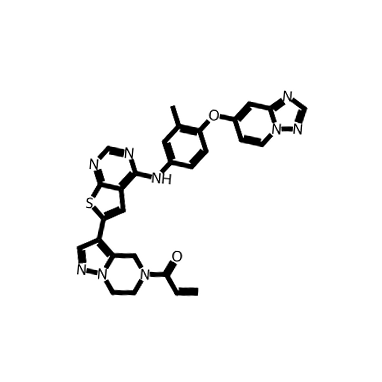 C=CC(=O)N1CCn2ncc(-c3cc4c(Nc5ccc(Oc6ccn7ncnc7c6)c(C)c5)ncnc4s3)c2C1